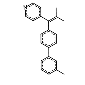 CC(C)=C(c1ccncc1)c1ccc(-c2cccc(C)c2)cc1